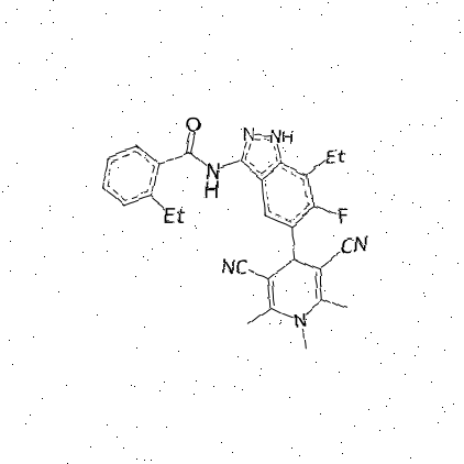 CCc1ccccc1C(=O)Nc1n[nH]c2c(CC)c(F)c(C3C(C#N)=C(C)N(C)C(C)=C3C#N)cc12